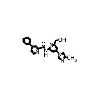 Cc1cn(-c2cc(CO)nc(NC(=O)c3cc(-c4ccccc4)ccn3)c2)cn1